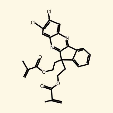 C=C(C)C(=O)OCCC1(CCOC(=O)C(=C)C)c2ccccc2-c2nc3cc(Cl)c(Cl)cc3nc21